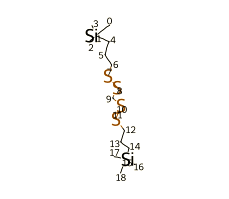 C[Si](C)(C)CCCSSCSSCCC[Si](C)(C)C